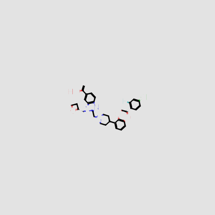 C=C(O)c1ccc2nc(CN3CCC(c4cccc5c4OC[C@H](c4ccc(Cl)cc4F)O5)CC3)n(C[C@@H]3CCO3)c2c1